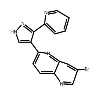 Brc1cnc2ccc(-c3c[nH]nc3-c3ccccn3)nc2c1